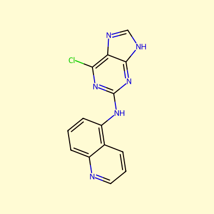 Clc1nc(Nc2cccc3ncccc23)nc2[nH]cnc12